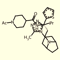 CC(=O)N1CCC(C(=O)N[C@@H](CCN2C3CCC2CC(n2c(C)nnc2C(C)C)C3)c2cccs2)CC1